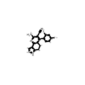 N#Cc1c(N)nc2c(c1-c1ccc(F)cc1F)CCc1[nH]ncc1-2